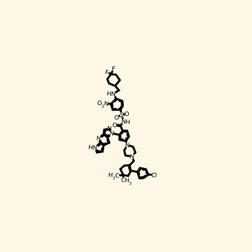 CC1(C)CCC(CN2CCN(c3ccc(C(=O)NS(=O)(=O)c4ccc(NCC5CCC(F)(F)CC5)c([N+](=O)[O-])c4)c(-n4ncc5nc6[nH]ccc6cc54)c3)CC2)=C(c2ccc(Cl)cc2)C1